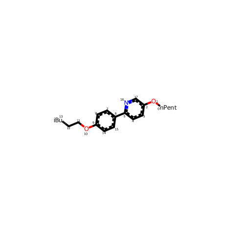 CCCCCOc1ccc(-c2ccc(OCCC(C)CC)cc2)nc1